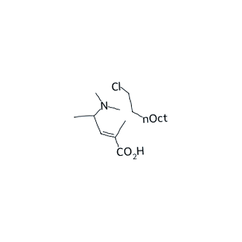 CC(=CC(C)N(C)C)C(=O)O.CCCCCCCCCCCl